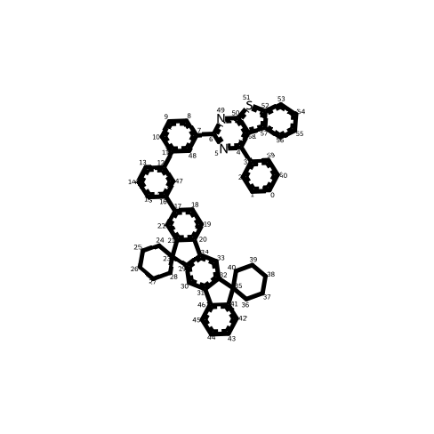 c1ccc(-c2nc(-c3cccc(-c4cccc(-c5ccc6c(c5)C5(CCCCC5)c5cc7c(cc5-6)C5(CCCCC5)c5ccccc5-7)c4)c3)nc3sc4ccccc4c23)cc1